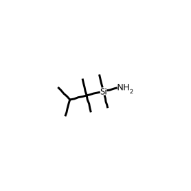 CC(C)C(C)(C)[Si](C)(C)N